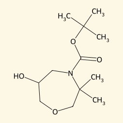 CC(C)(C)OC(=O)N1CC(O)COCC1(C)C